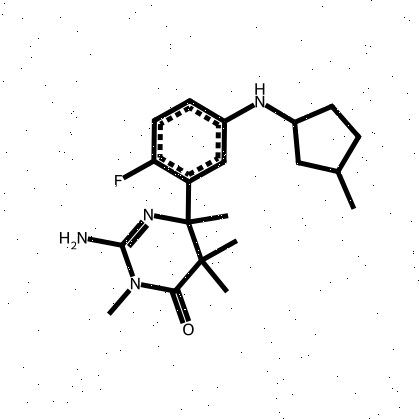 CC1CCC(Nc2ccc(F)c(C3(C)N=C(N)N(C)C(=O)C3(C)C)c2)C1